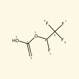 O=C(O)OC(F)C(F)(F)F